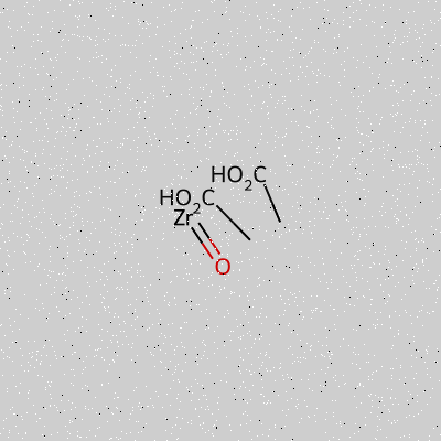 CC(=O)O.CC(=O)O.[O]=[Zr]